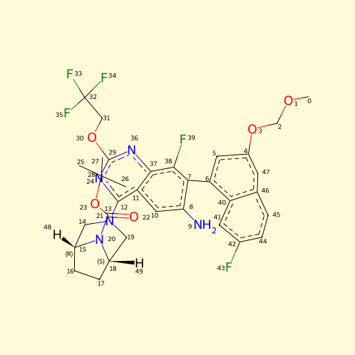 COCOc1cc(-c2c(N)cc3c(N4C[C@H]5CC[C@@H](C4)N5C(=O)OC(C)(C)C)nc(OCC(F)(F)F)nc3c2F)c2cc(F)ccc2c1